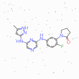 Cc1cc(Nc2cncc(Nc3ccc(F)c(N4CCCC4=O)c3)n2)n[nH]1